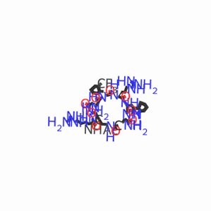 CC(=O)N[C@@H](CCCNC(=N)N)C(=O)N[C@H]1CCCNC(=O)CCC(C(N)=O)NC(=O)C(Cc2c[nH]c3ccccc23)NC(=O)[C@H](CCCNC(=N)N)NC(=O)[C@@H](Cc2ccccc2C(F)(F)F)NC(=O)[C@H](CC(N)=O)NC1=O